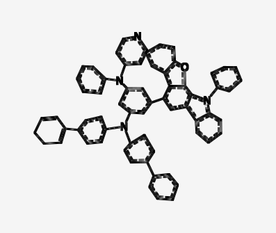 C1=CC(c2ccc(N(c3ccc(-c4ccccc4)cc3)c3cc(-c4cc5c6ccccc6n(-c6ccccc6)c5c5oc6ccccc6c45)cc(N(c4ccccc4)c4ccncc4)c3)cc2)=CCC1